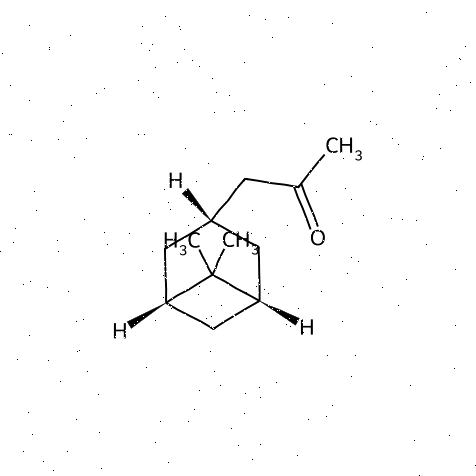 CC(=O)C[C@@H]1C[C@@H]2C[C@H](C1)C2(C)C